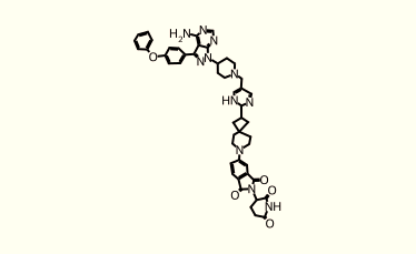 Nc1ncnc2c1c(-c1ccc(Oc3ccccc3)cc1)nn2C1CCN(CC2=CNC(C3CC4(CCN(c5ccc6c(c5)C(=O)N(C5CCC(=O)NC5=O)C6=O)CC4)C3)N=C2)CC1